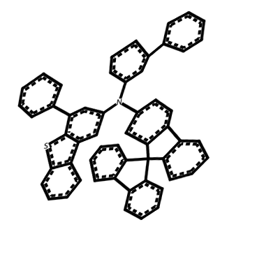 c1ccc(-c2cccc(N(c3ccc4c(c3)C3(c5ccccc5-c5ccccc53)c3ccccc3-4)c3cc(-c4ccccc4)c4sc5ccccc5c4c3)c2)cc1